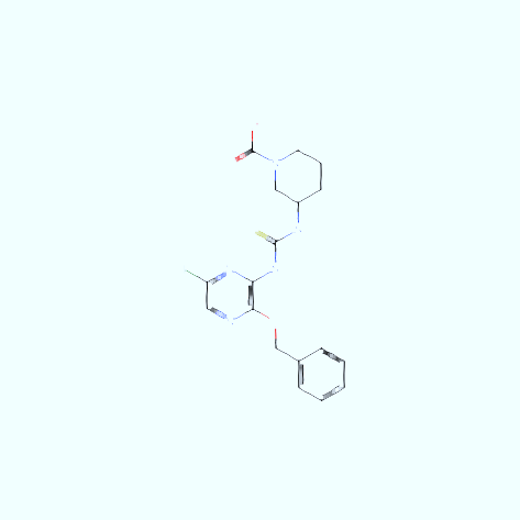 O=C(O)N1CCCC(NC(=S)Nc2nc(Cl)cnc2OCc2ccccc2)C1